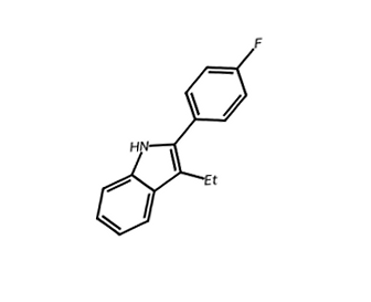 CCc1c(-c2ccc(F)cc2)[nH]c2ccccc12